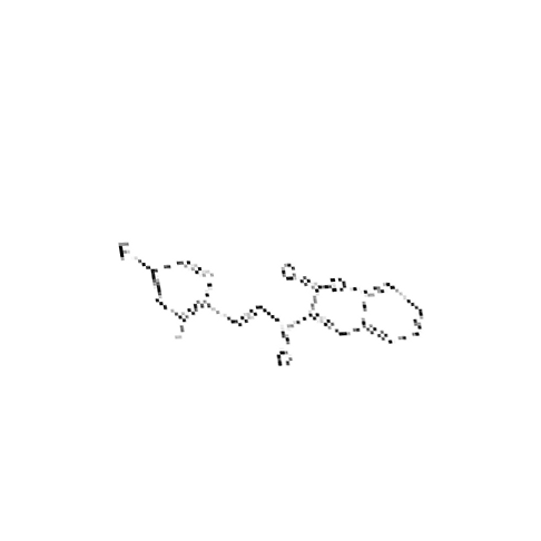 O=C(C=Cc1ccc(F)cc1F)c1cc2ccccc2oc1=O